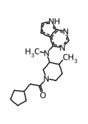 CC1CCN(C(=O)CC2CCCC2)CC1N(C)c1ncnc2[nH]ccc12